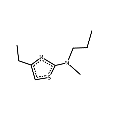 CCCN(C)c1nc(CC)cs1